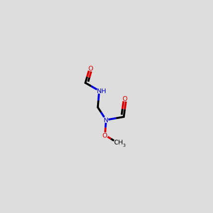 CON(C=O)CNC=O